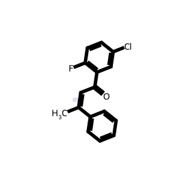 C/C(=C/C(=O)c1cc(Cl)ccc1F)c1ccccc1